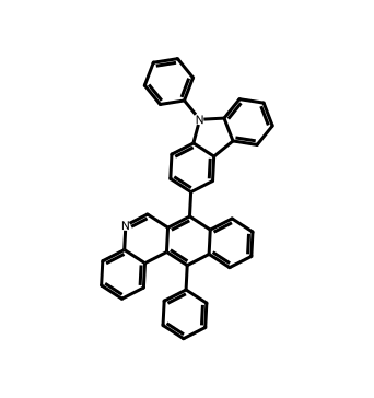 c1ccc(-c2c3ccccc3c(-c3ccc4c(c3)c3ccccc3n4-c3ccccc3)c3cnc4ccccc4c23)cc1